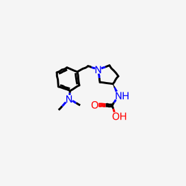 CN(C)c1cccc(CN2CC[C@@H](NC(=O)O)C2)c1